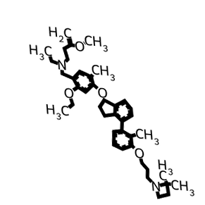 C=C(CCN(CC)Cc1cc(C)c(O[C@H]2CCc3c(-c4cccc(OCCCN5CCC5(C)C)c4C)cccc32)cc1OCC)OC